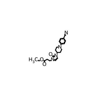 CCOC(=O)CCn1ccn(C2CCN(c3ccc(C#N)cc3)CC2)c1=O